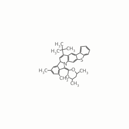 Cc1cc(C)c2c(c1)C1C=C(C(C)(C)C)c3cc4c(cc3N1C2=C1OC(C)CC(C)O1)sc1ccccc14